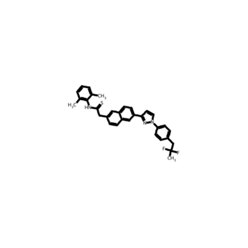 Cc1cccc(C)c1NC(=S)Cc1ccc2cc(-c3ccn(-c4ccc(CC(C)(F)F)cc4)n3)ccc2c1